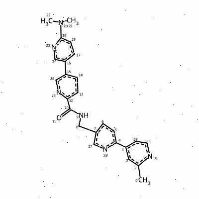 Cc1cc(-c2ccc(CNC(=O)c3ccc(-c4ccc(N(C)C)nc4)cn3)cn2)ccn1